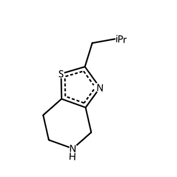 CC(C)Cc1nc2c(s1)CCNC2